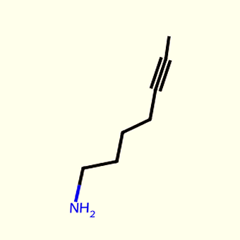 CC#CCCCCN